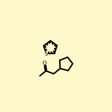 CC(=O)CC1CCCC1.c1ccsc1